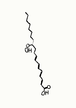 CCCCCCCC[C@H](CCC=CC=CC=CC=CC(=O)O)OO